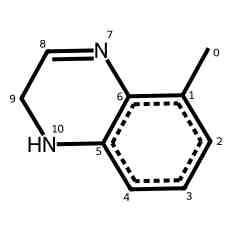 Cc1cccc2c1N=CCN2